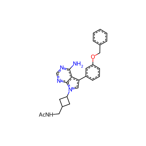 CC(=O)NCC1CC(n2cc(-c3cccc(OCc4ccccc4)c3)c3c(N)ncnc32)C1